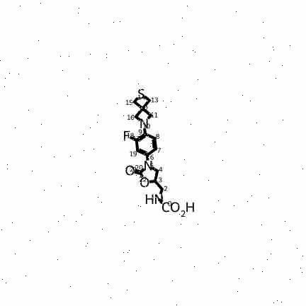 O=C(O)NCC1CN(c2ccc(N3CC4(CSC4)C3)c(F)c2)C(=O)O1